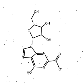 O=[N+]([O-])c1nc(O)c2ncn([C@@H]3O[C@H](CO)C(O)C3O)c2n1